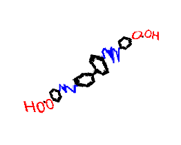 OCOc1ccc(N=Nc2ccc(-c3ccc(N=Nc4ccc(OCO)cc4)cc3)cc2)cc1